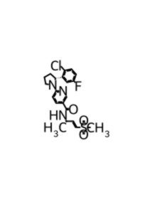 C[C@H](/C=C/S(C)(=O)=O)NC(=O)c1ccc(N2CCC[C@@H]2c2cc(F)ccc2Cl)nc1